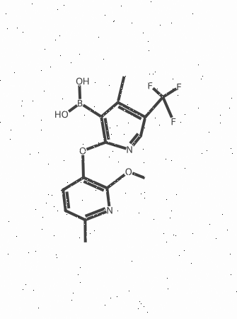 COc1nc(C)ccc1Oc1ncc(C(F)(F)F)c(C)c1B(O)O